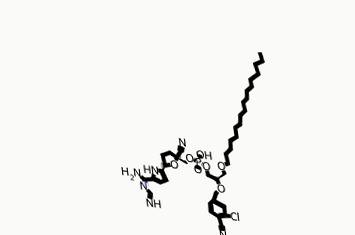 CCCCCCCCCCCCCCCCCCOC[C@H](COP(=O)(O)OC[C@]1(C#N)CC[C@H](c2ccc(/C(N)=N\C=N)[nH]2)O1)OCc1ccc(C#N)c(Cl)c1